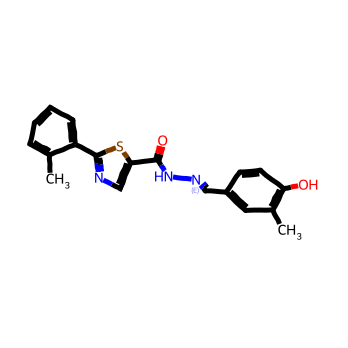 Cc1cc(/C=N/NC(=O)c2cnc(-c3ccccc3C)s2)ccc1O